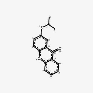 CC(C)Sc1ccc2oc3ccccc3c(=O)c2c1